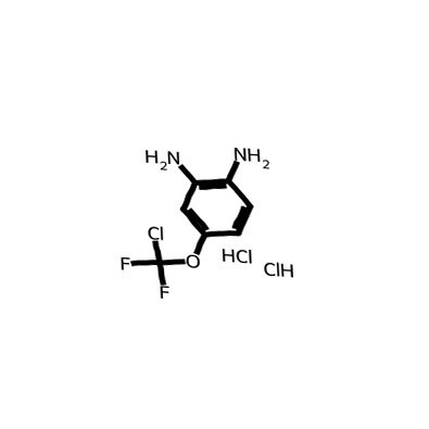 Cl.Cl.Nc1ccc(OC(F)(F)Cl)cc1N